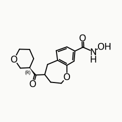 O=C(NO)c1ccc2c(c1)OCCC(C(=O)[C@@H]1CCCOC1)C2